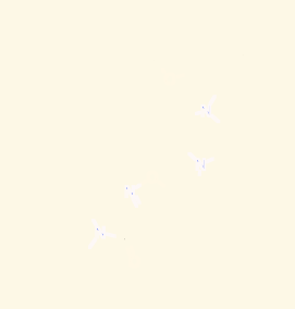 CC(C)Oc1ccccc1N1CCN(CC2CC(C(=O)N3CCCCC3)=NO2)CC1